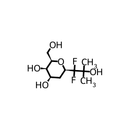 CC(C)(O)C(F)(F)[C@H]1C[C@@H](O)[C@@H](O)[C@@H](CO)O1